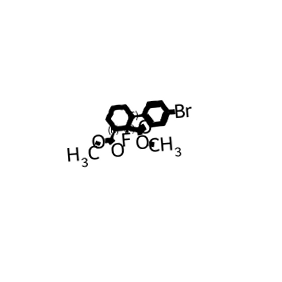 COC(=O)[C@H]1CCC[C@@H](c2ccc(Br)cc2)[C@]1(F)C(=O)OC